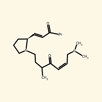 CC(C)C(=O)/C=C/[C@@H]1CCCN1CCC(C)C(=O)/C=C\CN(C)C